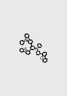 c1ccc(N(c2cccc(-c3cccc4c3oc3ccccc34)c2)c2cc(-c3ccc4c5ccccc5n(-c5ccccc5)c4c3)cc(-c3cccc4c3sc3ccccc34)c2)cc1